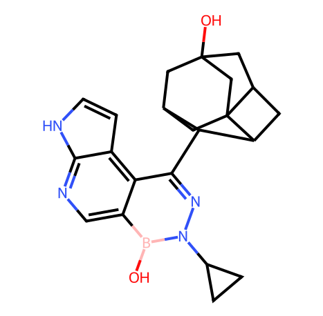 OB1c2cnc3[nH]ccc3c2C(C2C3CC4(O)CC5CC2C5(C3)C4)=NN1C1CC1